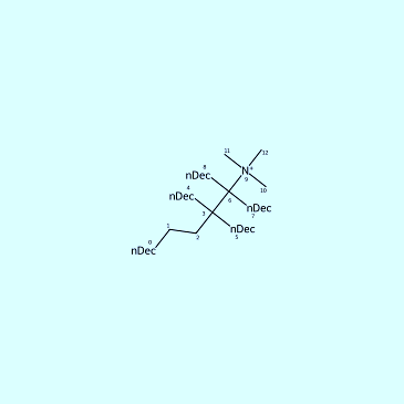 CCCCCCCCCCCCC(CCCCCCCCCC)(CCCCCCCCCC)C(CCCCCCCCCC)(CCCCCCCCCC)[N+](C)(C)C